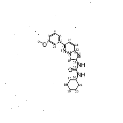 COc1cccc(C2=NN3CC(NC(=O)NC4CCCCC4)N=C3C=C2)c1